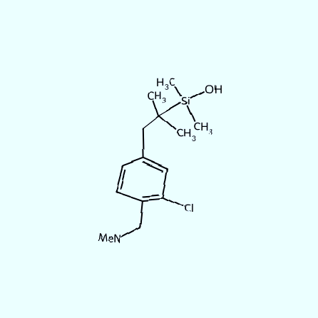 CNCc1ccc(CC(C)(C)[Si](C)(C)O)cc1Cl